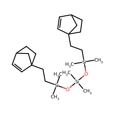 C[Si](C)(CCC12C=CC(CC1)C2)O[Si](C)(C)O[Si](C)(C)CCC12C=CC(CC1)C2